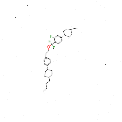 CCCCC[C@H]1CC[C@H](c2ccc(CCOC(F)(F)c3ccc([C@H]4CC[C@H](CC)CC4)cc3F)cc2)CC1